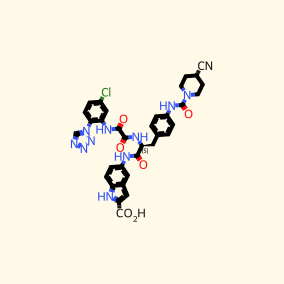 N#CC1CCN(C(=O)Nc2ccc(C[C@H](NC(=O)C(=O)Nc3cc(Cl)ccc3-n3cnnn3)C(=O)Nc3ccc4[nH]c(C(=O)O)cc4c3)cc2)CC1